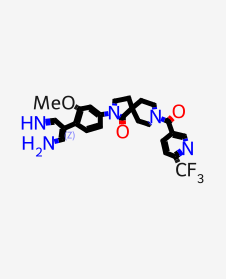 COc1cc(N2CCC3(CCN(C(=O)c4ccc(C(F)(F)F)nc4)CC3)C2=O)ccc1/C(C=N)=C/N